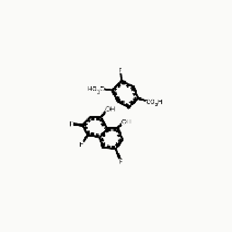 O=C(O)c1ccc(C(=O)O)c(F)c1.Oc1cc(F)cc2c(F)c(F)cc(O)c12